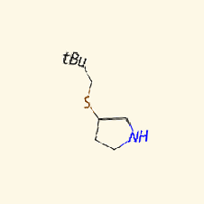 CC(C)(C)CSC1CCNC1